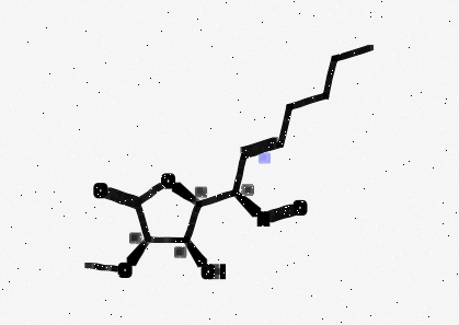 CCCC/C=C/[C@@H](N=O)[C@@H]1OC(=O)[C@H](OC)[C@@H]1O